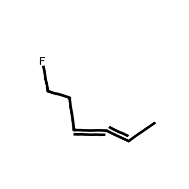 CC=C=CCCF